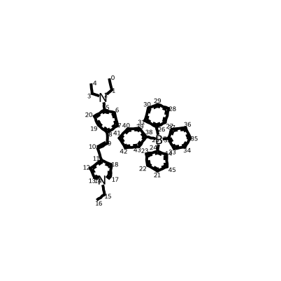 CCN(CC)c1ccc(/C=C/c2cc[n+](CC)cc2)cc1.c1ccc([B-](c2ccccc2)(c2ccccc2)c2ccccc2)cc1